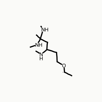 C[CH]OCCC(CC(C)(NC)NC)NC